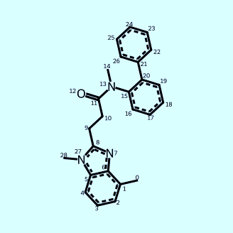 Cc1cccc2c1nc(CCC(=O)N(C)c1ccccc1-c1ccccc1)n2C